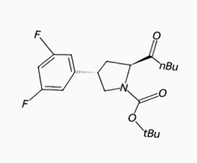 CCCCC(=O)[C@@H]1C[C@@H](c2cc(F)cc(F)c2)CN1C(=O)OC(C)(C)C